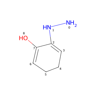 NNC1=CCCC=C1O